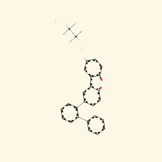 CC(C)(O)C(C)(C)OBc1ccc2oc3ccc(-c4ccccc4-c4ccccc4)cc3c2c1